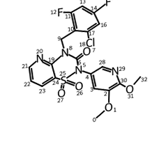 COc1cc(N2C(=O)N(Cc3c(F)cc(F)cc3Cl)c3ncccc3S2(=O)=O)cnc1OC